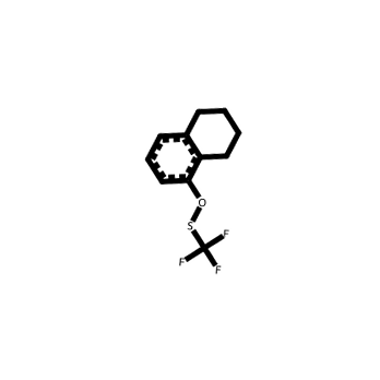 FC(F)(F)SOc1cccc2c1CCCC2